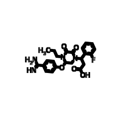 CCCN1C(=O)C(=O)N(C(CC(=O)O)c2ccccc2F)CC1Oc1ccc(C(=N)N)cc1